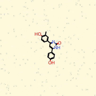 Cc1cc(-c2cc(-c3ccc(O)cc3)[nH]c(=O)n2)ccc1O